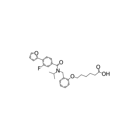 CC(C)N(Cc1ccccc1OCCCCCC(=O)O)C(=O)c1ccc(-c2ccco2)c(F)c1